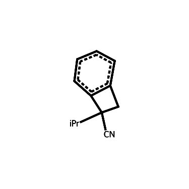 CC(C)C1(C#N)Cc2ccccc21